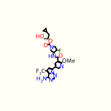 COc1ncc(-c2cc(C(F)(F)F)c3c(N)ncnn23)cc1C(=O)N[C@@H]1CN(C(=O)O[C@@H](CO)CC2CC2)C[C@@H]1F